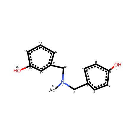 CC(=O)N(Cc1ccc(O)cc1)Cc1cccc(O)c1